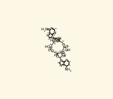 Nc1ccnc2c1ncn2[C@@H]1O[C@@H]2COP(=O)(O)C[C@@H]3[C@H](O)[C@@H](COP(=O)(O)O[C@H]2[C@H]1F)O[C@H]3n1cnc2c(N)ncnc21